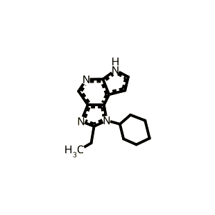 CCc1nc2cnc3[nH]ccc3c2n1C1CCCCC1